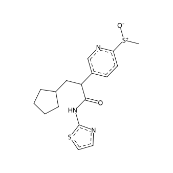 C[S+]([O-])c1ccc(C(CC2CCCC2)C(=O)Nc2nccs2)cn1